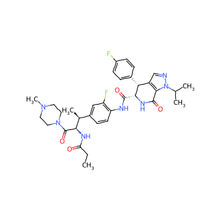 CCC(=O)N[C@@H](C(=O)N1CCN(C)CC1)[C@@H](C)c1ccc(NC(=O)[C@H]2NC(=O)c3c(cnn3C(C)C)[C@H]2c2ccc(F)cc2)c(F)c1